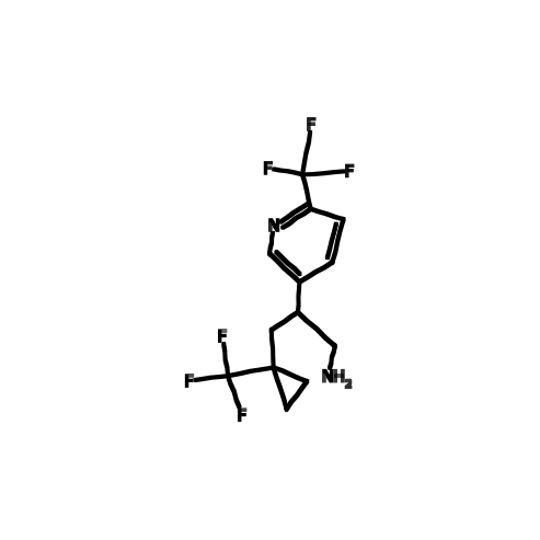 NCC(CC1(C(F)(F)F)CC1)c1ccc(C(F)(F)F)nc1